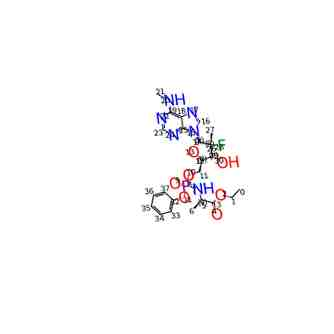 CCOC(=O)[C@@H](C)NP(=O)(OC[C@H]1O[C@@H](n2cnc3c(NC)ncnc32)[C@](C)(F)[C@@H]1O)Oc1ccccc1